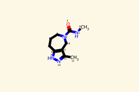 CNC(=O)N1CCCc2[nH]nc(C)c2C1